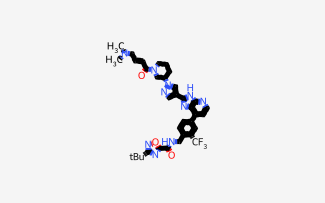 CN(C)C/C=C/C(=O)N1CCCC(n2cc(-c3nc4c(-c5ccc(CNC(=O)c6nc(C(C)(C)C)no6)c(C(F)(F)F)c5)ccnc4[nH]3)cn2)C1